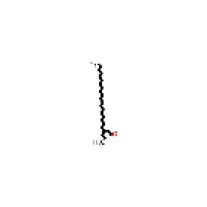 CCCCCCCCCCCCCCCCCCCC(CC=O)CCC